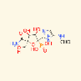 NC(=O)[C@]1(CO)OC(c2ncc(NC=O)[nH]2)(P(=O)(O)O)[C@H](O)[C@@H]1O